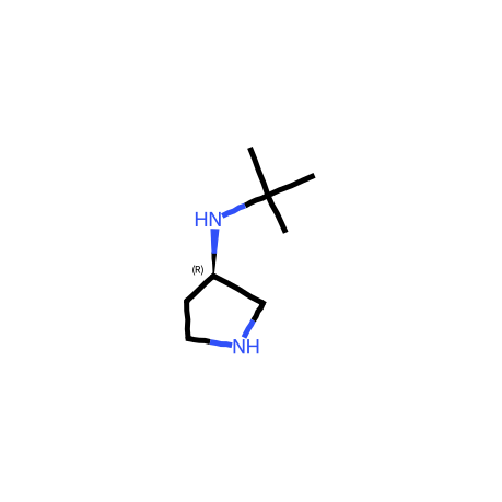 CC(C)(C)N[C@@H]1CCNC1